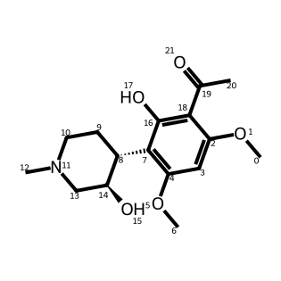 COc1cc(OC)c([C@H]2CCN(C)C[C@@H]2O)c(O)c1C(C)=O